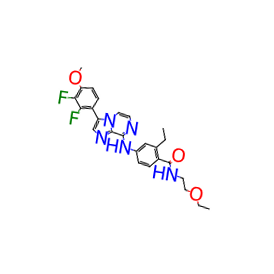 CCOCCNC(=O)c1ccc(Nc2nccn3c(-c4ccc(OC)c(F)c4F)cnc23)cc1CC